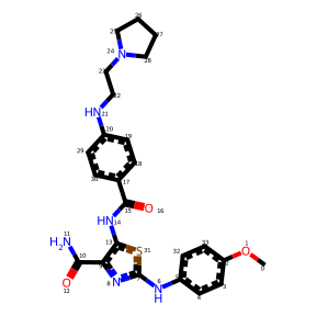 COc1ccc(Nc2nc(C(N)=O)c(NC(=O)c3ccc(NCCN4CCCC4)cc3)s2)cc1